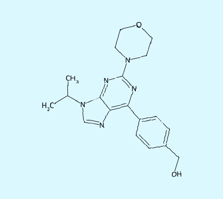 CC(C)n1cnc2c(-c3ccc(CO)cc3)nc(N3CCOCC3)nc21